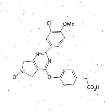 COc1ccc(-c2nc3c(c(Oc4ccc(CC(=O)O)cc4)n2)C[S+]([O-])C3)cc1Cl